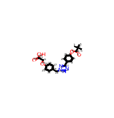 CC(C)(C)C(=O)Oc1ccc(-c2nnn(Cc3ccc(OCC(=O)O)cc3)n2)cc1